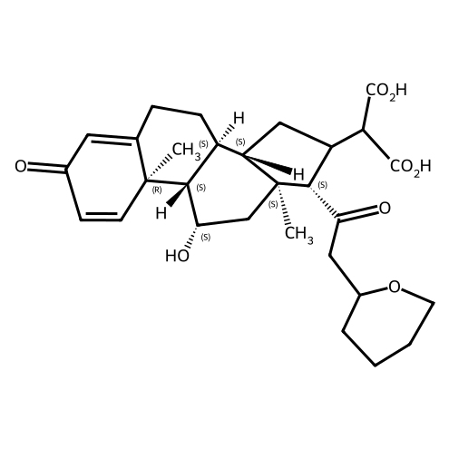 C[C@]12C[C@H](O)[C@H]3[C@@H](CCC4=CC(=O)C=C[C@@]43C)[C@@H]1CC(C(C(=O)O)C(=O)O)[C@@H]2C(=O)CC1CCCCO1